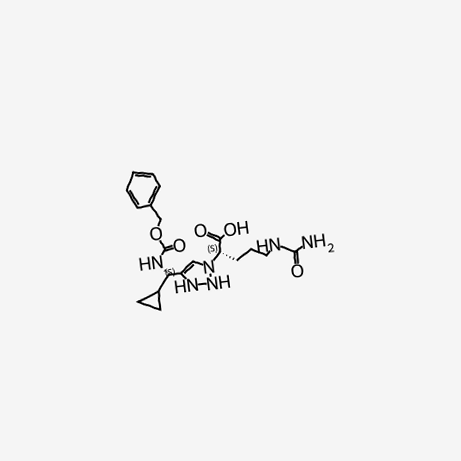 NC(=O)NCCC[C@@H](C(=O)O)N1C=C([C@@H](NC(=O)OCc2ccccc2)C2CC2)NN1